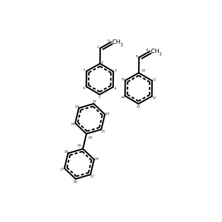 C=Cc1ccccc1.C=Cc1ccccc1.c1ccc(-c2ccccc2)cc1